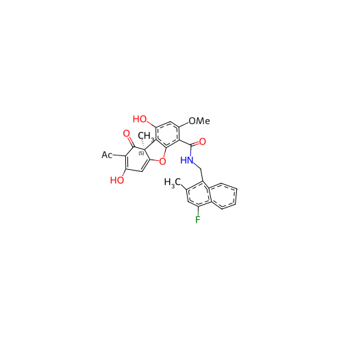 COc1cc(O)c2c(c1C(=O)NCc1c(C)cc(F)c3ccccc13)OC1=CC(O)=C(C(C)=O)C(=O)[C@]12C